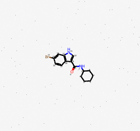 O=C(NC1CCCCC1)c1c[nH]c2cc(Br)ccc12